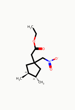 CCOC(=O)CC1(C[N+](=O)[O-])C[C@H](C)[C@@H](C)C1